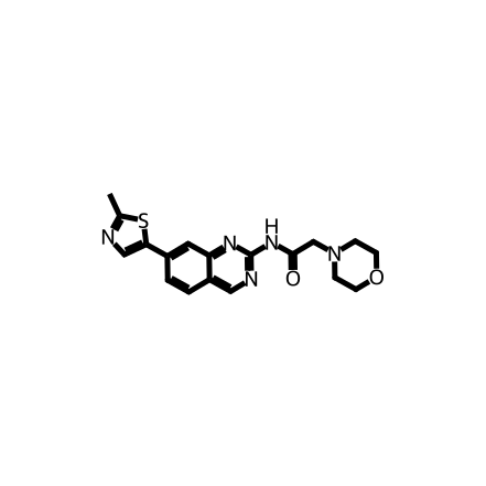 Cc1ncc(-c2ccc3cnc(NC(=O)CN4CCOCC4)nc3c2)s1